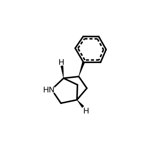 c1ccc([C@H]2C[C@@H]3CN[C@H]2C3)cc1